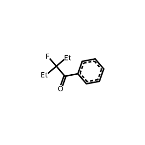 [CH2]CC(F)(CC)C(=O)c1ccccc1